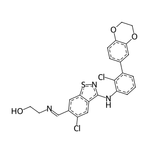 OCCN=Cc1cc2snc(Nc3cccc(-c4ccc5c(c4)OCCO5)c3Cl)c2cc1Cl